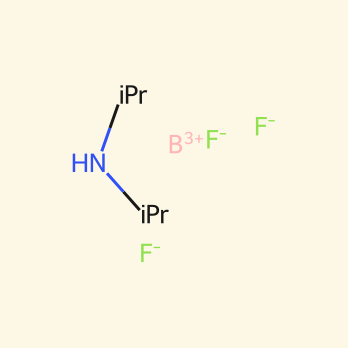 CC(C)NC(C)C.[B+3].[F-].[F-].[F-]